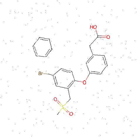 CS(=O)(=O)Cc1cc(Br)ccc1Oc1cccc(CC(=O)O)c1.c1ccccc1